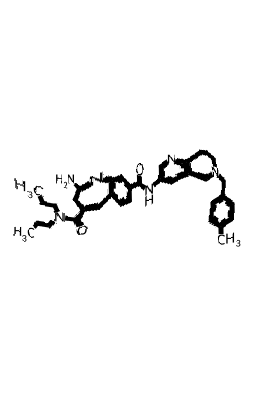 CCCN(CCC)C(=O)C1=Cc2ccc(C(=O)Nc3cnc4c(c3)CN(Cc3ccc(C)cc3)CC4)cc2N=C(N)C1